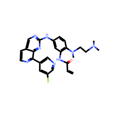 C=CC(=O)Nc1cc(Nc2ncc3ccnc(-c4cncc(F)c4)c3n2)ccc1N(C)CCN(C)C